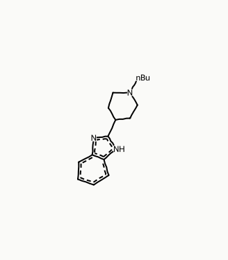 [CH2]CCCN1CCC(c2nc3ccccc3[nH]2)CC1